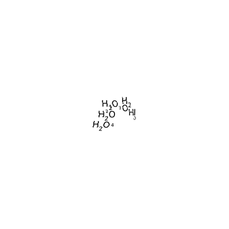 I.O.O.O.O